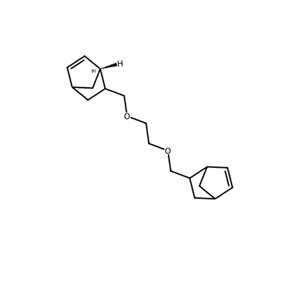 C1=CC2CC1CC2COCCOCC1CC2C=C[C@H]1C2